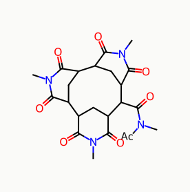 CC(=O)N(C)C(=O)C1C2CC(C(=O)N(C)C2=O)C2CC(C(=O)N(C)C2=O)C2CC1C(=O)N(C)C2=O